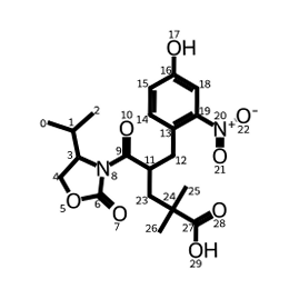 CC(C)C1COC(=O)N1C(=O)C(Cc1ccc(O)cc1[N+](=O)[O-])CC(C)(C)C(=O)O